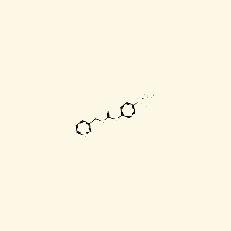 CNS(=O)(=O)c1ccc(NC(=O)NCc2cccnc2)cc1